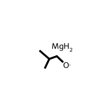 CC(C)C[O].[MgH2]